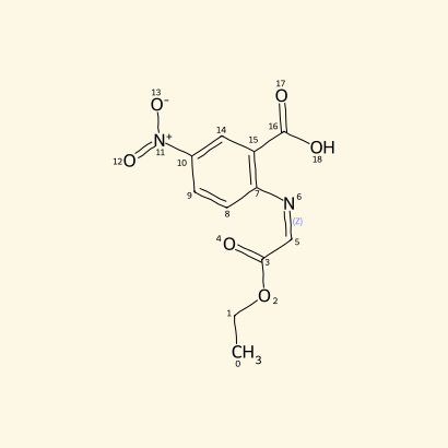 CCOC(=O)/C=N\c1ccc([N+](=O)[O-])cc1C(=O)O